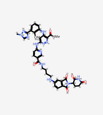 CNC(=O)c1nnc(Nc2ccc(C(=O)NCCCCNc3ccc4c(c3)C(=O)N(C3CCC(=O)NC3=O)C4=O)cn2)cc1Nc1cccc(-c2ncn(C)n2)c1OC